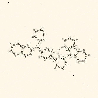 c1ccc(N(c2ccc3ccccc3c2)c2ccc3c(c2)sc2c(-n4c5ccccc5c5ccccc54)cccc23)cc1